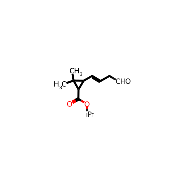 CC(C)OC(=O)C1C(C=CCC=O)C1(C)C